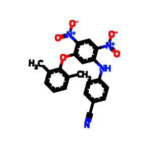 Cc1cccc(C)c1Oc1cc(Nc2ccc(C#N)cc2)c([N+](=O)[O-])cc1[N+](=O)[O-]